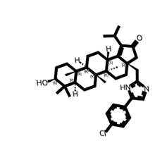 CC(C)C1=C2[C@H]3CC[C@@H]4[C@@]5(C)CC[C@H](O)C(C)(C)[C@@H]5CC[C@@]4(C)[C@]3(C)CC[C@@]2(Cc2ncc(-c3ccc(Cl)cc3)[nH]2)CC1=O